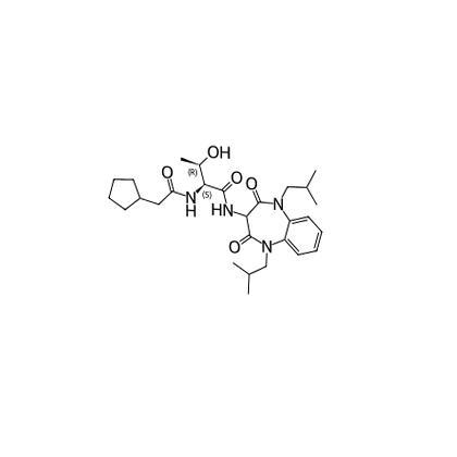 CC(C)CN1C(=O)C(NC(=O)[C@@H](NC(=O)CC2CCCC2)[C@@H](C)O)C(=O)N(CC(C)C)c2ccccc21